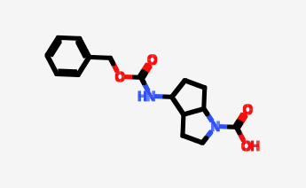 O=C(NC1CCC2C1CCN2C(=O)O)OCc1ccccc1